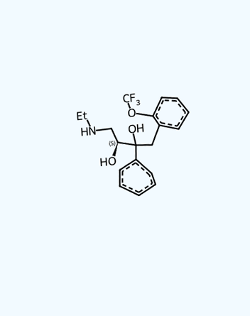 CCNC[C@H](O)C(O)(Cc1ccccc1OC(F)(F)F)c1ccccc1